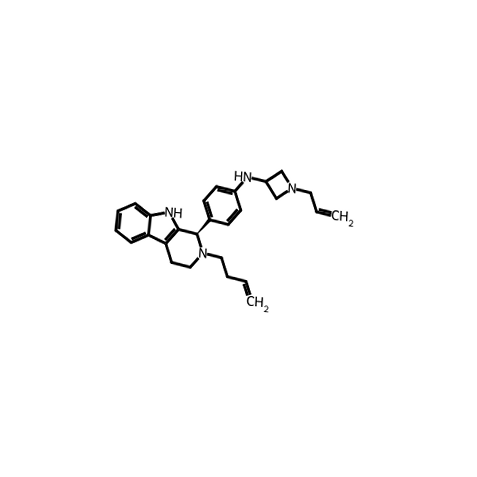 C=CCCN1CCc2c([nH]c3ccccc23)[C@H]1c1ccc(NC2CN(CC=C)C2)cc1